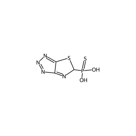 OP(O)(=S)C1N=C2N=NN=C2S1